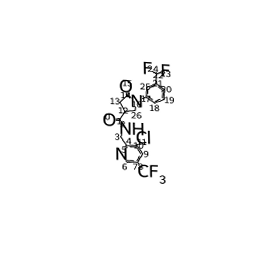 O=C(NCc1ncc(C(F)(F)F)cc1Cl)C1CC(=O)N(c2cccc(C(F)F)c2)C1